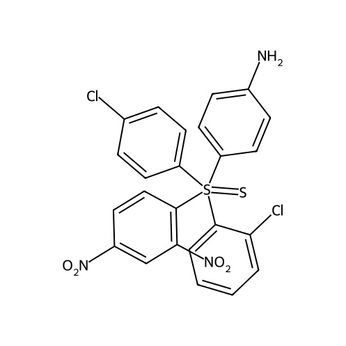 Nc1ccc(S(=S)(c2ccc(Cl)cc2)(c2ccccc2Cl)c2ccc([N+](=O)[O-])cc2[N+](=O)[O-])cc1